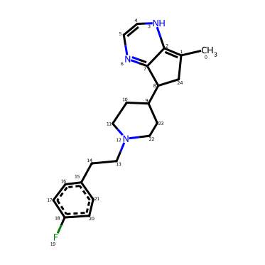 CC1=C2NC=CN=C2C(C2CCN(CCc3ccc(F)cc3)CC2)C1